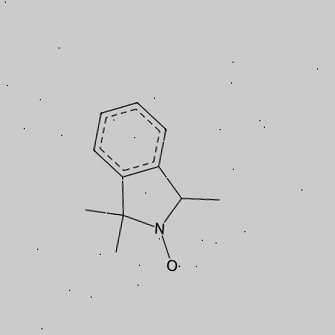 CC1c2ccccc2C(C)(C)N1[O]